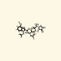 C=C(C)Cn1c(C(=O)N[C@H](CC(C)C)C(=O)N[C@@H](C[C@H]2CCNC2=O)C(=O)CO)cc2c(OC)cccc21